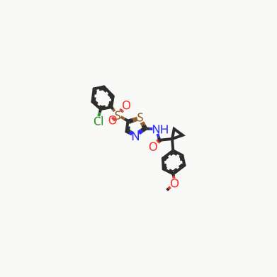 COc1ccc(C2(C(=O)Nc3ncc(S(=O)(=O)c4ccccc4Cl)s3)CC2)cc1